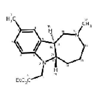 CCOC(=O)CN1c2ccc(C)cc2[C@H]2CN(C)CCC[C@@H]21